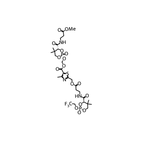 COC(=O)CCNC(=O)[C@@H]1OP(=O)(OCOC(=O)c2sc(COC(=O)CCNC(=O)[C@@H]3O[P@@](=O)(OCC(F)(F)F)OCC3(C)C)nc2C)OCC1(C)C